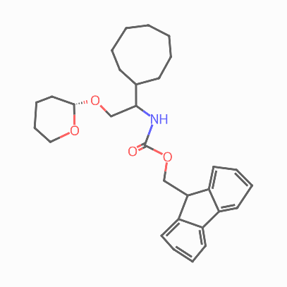 O=C(NC(CO[C@H]1CCCCO1)C1CCCCCCC1)OCC1c2ccccc2-c2ccccc21